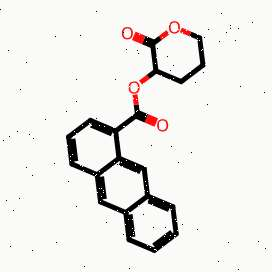 O=C(OC1CCCOC1=O)c1cccc2cc3ccccc3cc12